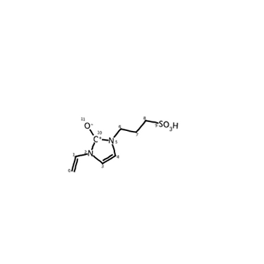 C=Cn1ccn(CCCS(=O)(=O)O)[c+]1[O-]